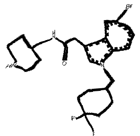 O=C(Cc1cn(CC2CCC(F)(F)CC2)c2ccc(Br)cc12)NC1CCNCC1